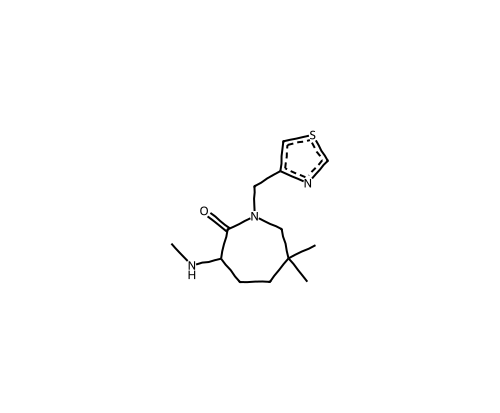 CNC1CCC(C)(C)CN(Cc2cscn2)C1=O